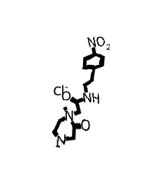 CN1CC[N+](C)(CC(=O)NCCc2ccc([N+](=O)[O-])cc2)C(=O)C1.[Cl-]